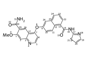 COc1cc2nccc(Oc3ccc4c(C(=O)Nc5nccs5)cccc4c3)c2cc1C(N)=O